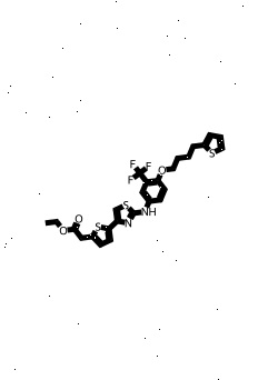 CCOC(=O)Cc1ccc(-c2csc(Nc3ccc(OCCCCc4cccs4)c(C(F)(F)F)c3)n2)s1